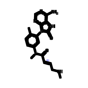 CNC/C=C/C(=O)N(C)c1ccc(C)c(-n2c(=O)[nH]c3c(N)ncnc32)c1